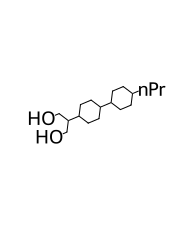 CCCC1CCC(C2CCC(C(CO)CO)CC2)CC1